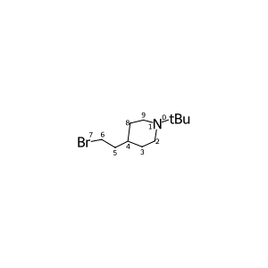 CC(C)(C)N1CCC(CCBr)CC1